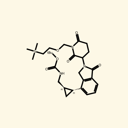 CC(C)(C)OC(=O)NC[C@@H]1C[C@H]1c1cccc2c1CN(C1CCC(=O)N(COCC[Si](C)(C)C)C1=O)C2=O